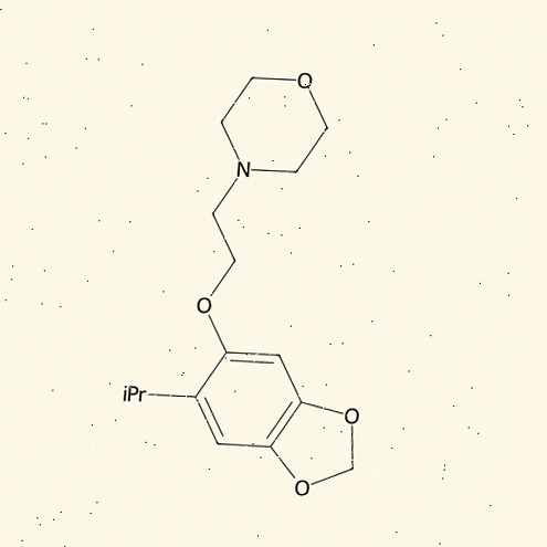 CC(C)c1cc2c(cc1OCCN1CCOCC1)OCO2